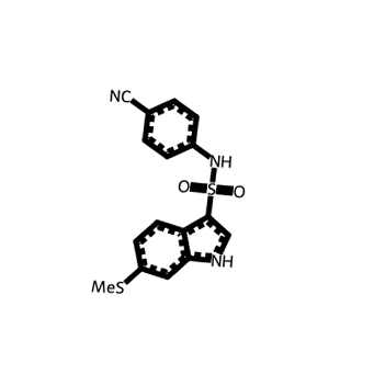 CSc1ccc2c(S(=O)(=O)Nc3ccc(C#N)cc3)c[nH]c2c1